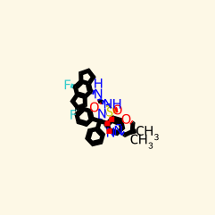 CC1(C)COc2c(S(=O)(=NC(c3ccccc3)(c3ccccc3)c3ccccc3)NC(=O)Nc3c4c(c(F)c5c3C[C@@H](F)C5)CCC4)cnn2C1